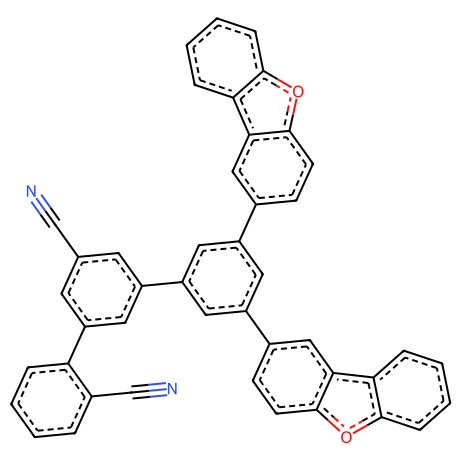 N#Cc1cc(-c2cc(-c3ccc4oc5ccccc5c4c3)cc(-c3ccc4oc5ccccc5c4c3)c2)cc(-c2ccccc2C#N)c1